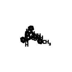 Cc1cccc(NC(=O)N[C@@H]2N=C(c3ccccc3F)c3ccccc3N(Cc3nc4ccccc4[nH]3)C2=O)c1